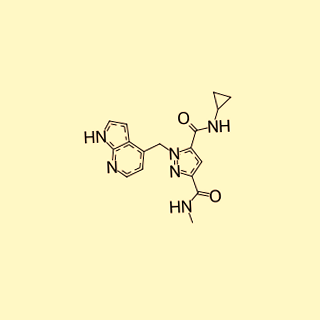 CNC(=O)c1cc(C(=O)NC2CC2)n(Cc2ccnc3[nH]ccc23)n1